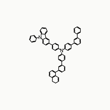 C1=Cc2c(cccc2-c2cccc(-c3ccc(N(c4ccc(-c5cccc(-c6ccccc6)c5)cc4)c4ccc(-c5ccc6c(c5)c5ccccc5n6-c5ccccc5)cc4)cc3)c2)CC1